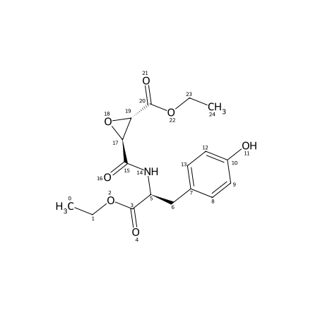 CCOC(=O)[C@H](Cc1ccc(O)cc1)NC(=O)[C@H]1O[C@@H]1C(=O)OCC